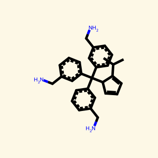 CC(C)C1=CC=C[C]1C(c1cccc(CN)c1)(c1cccc(CN)c1)c1cccc(CN)c1